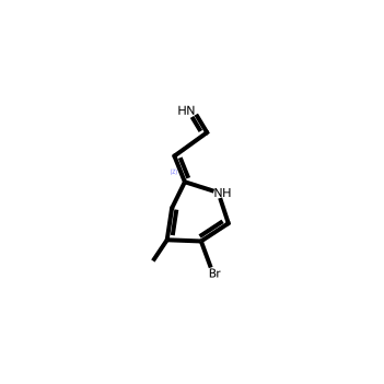 CC1=C/C(=C/C=N)NC=C1Br